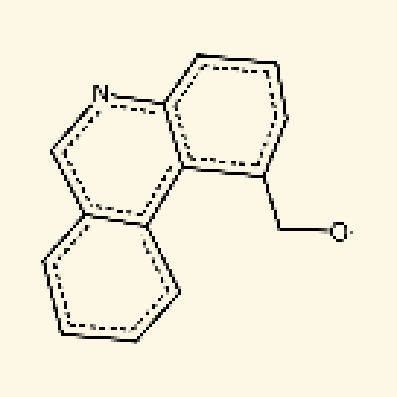 [O]Cc1cccc2ncc3ccccc3c12